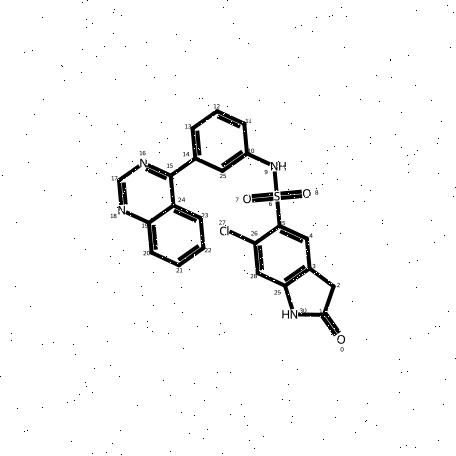 O=C1Cc2cc(S(=O)(=O)Nc3cccc(-c4ncnc5ccccc45)c3)c(Cl)cc2N1